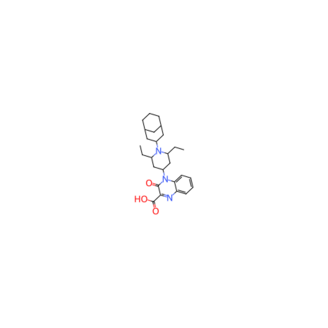 CCC1CC(n2c(=O)c(C(=O)O)nc3ccccc32)CC(CC)N1C1CC2CCCC(C2)C1